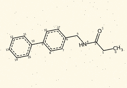 CCC(=O)NCc1ccc(-c2ccccc2)cc1